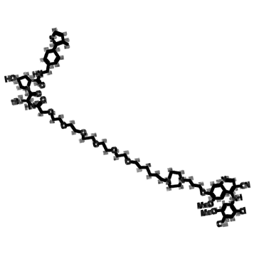 COc1cc(Nc2c(C#N)cnc3cc(OCCCN4CCN(CCCCCCOCCOCCOCCOCCOCCOCC(=O)N[C@H](C(=O)N5C[C@H](O)C[C@H]5C(=O)NCc5ccc(-c6sccc6C)cc5)C(C)(C)C)CC4)c(OC)cc23)c(Cl)cc1Cl